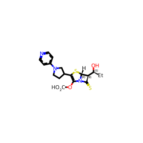 CC[C@H](O)[C@H]1C(=S)N2C(OC(=O)O)=C(C3CCN(c4ccncc4)C3)S[C@H]12